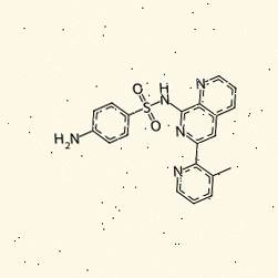 Cc1cccnc1-c1cc2cccnc2c(NS(=O)(=O)c2ccc(N)cc2)n1